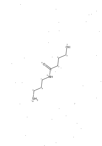 O=C(CCCO)NCCC[SiH3]